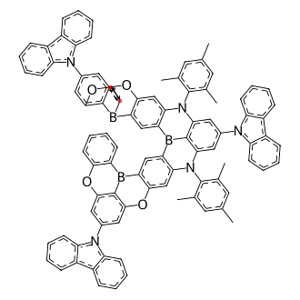 Cc1cc(C)c(N2c3cc4c(cc3B3c5cc6c(cc5N(c5c(C)cc(C)cc5C)c5cc(-n7c8ccccc8c8ccccc87)cc2c53)Oc2cc(-n3c5ccccc5c5ccccc53)cc3c2B6c2ccccc2O3)B2c3ccccc3Oc3cc(-n5c6ccccc6c6ccccc65)cc(c32)O4)c(C)c1